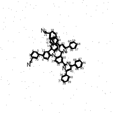 N#Cc1cccc(-c2ccc3c(c2)c2cc(-c4cccc(C#N)c4)ccc2n3-c2ccc(-c3nc(-c4ccccc4)cc(-c4ccccc4)n3)cc2-c2nc(-c3ccccc3)cc(-c3ccccc3)n2)c1